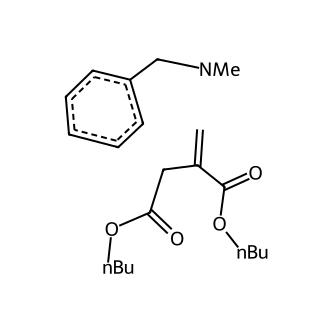 C=C(CC(=O)OCCCC)C(=O)OCCCC.CNCc1ccccc1